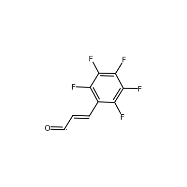 O=[C]/C=C/c1c(F)c(F)c(F)c(F)c1F